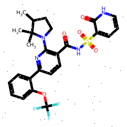 CC1CCN(c2nc(-c3ccccc3OC(F)(F)F)ccc2C(=O)NS(=O)(=O)c2ccc[nH]c2=O)C1(C)C